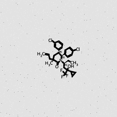 C=CC[C@@]1(C)C[C@H](c2cccc(Cl)c2)[C@@H](c2ccc(Cl)cc2)N([C@@H](CC)CC(O)(C2CC2)C(F)(F)F)C1=O